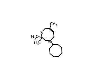 CC1=CC[C@@H](C2CCCCCCC2)CC(C)(C)SC1